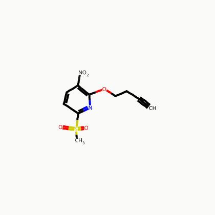 C#CCCOc1nc(S(C)(=O)=O)ccc1[N+](=O)[O-]